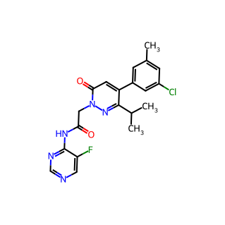 Cc1cc(Cl)cc(-c2cc(=O)n(CC(=O)Nc3ncncc3F)nc2C(C)C)c1